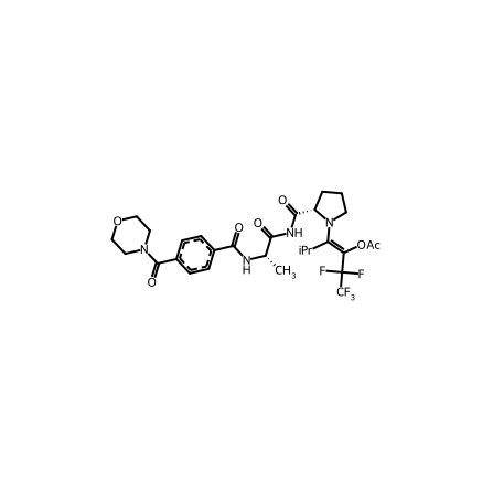 CC(=O)O/C(=C(/C(C)C)N1CCC[C@H]1C(=O)NC(=O)[C@H](C)NC(=O)c1ccc(C(=O)N2CCOCC2)cc1)C(F)(F)C(F)(F)F